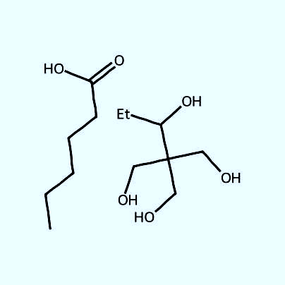 CCC(O)C(CO)(CO)CO.CCCCCC(=O)O